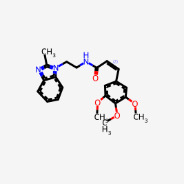 COc1cc(/C=C\C(=O)NCCn2c(C)nc3ccccc32)cc(OC)c1OC